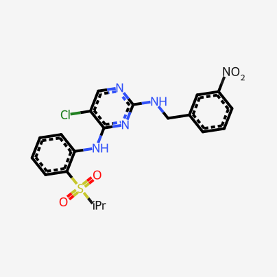 CC(C)S(=O)(=O)c1ccccc1Nc1nc(NCc2cccc([N+](=O)[O-])c2)ncc1Cl